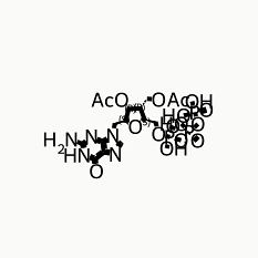 CC(=O)OC[C@H]1[C@@H](OC(C)=O)[C@H](Cn2cnc3c(=O)[nH]c(N)nc32)O[C@@H]1COP(=O)(O)OP(=O)(O)OP(=O)(O)O